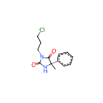 CC1(c2ccccc2)NC(=O)N(CCCCl)C1=O